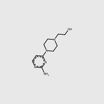 Nc1nccc(N2CCN(CCO)CC2)n1